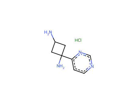 Cl.NC1CC(N)(c2ccncn2)C1